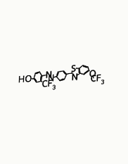 Oc1ccc(/N=N/c2ccc(-c3nc4cc(OC(F)(F)F)ccc4s3)cc2)c(C(F)(F)F)c1